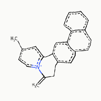 C=C1Cc2cc3ccc4ccccc4c3cc2-c2cc(C)cc[n+]21